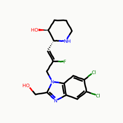 OCc1nc2cc(Cl)c(Cl)cc2n1C/C(F)=C/[C@H]1NCCC[C@@H]1O